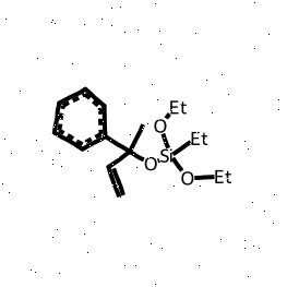 C=CC(C)(O[Si](CC)(OCC)OCC)c1ccccc1